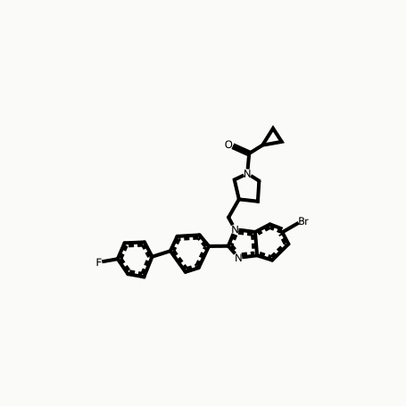 O=C(C1CC1)N1CCC(Cn2c(-c3ccc(-c4ccc(F)cc4)cc3)nc3ccc(Br)cc32)C1